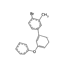 Cc1cc(C2=CC(Oc3ccccc3)=CC[CH]2)ccc1Br